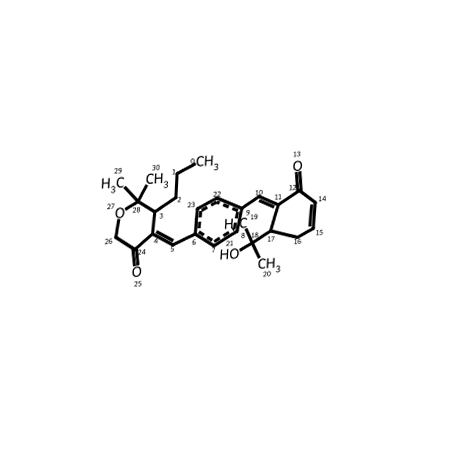 CCCC1/C(=C\c2ccc(/C=C3/C(=O)C=CCC3C(C)(C)O)cc2)C(=O)COC1(C)C